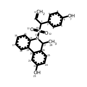 C=CC(c1ccc(O)cc1)S(=O)(=O)N1c2ccccc2-c2cc(O)ccc2C1C